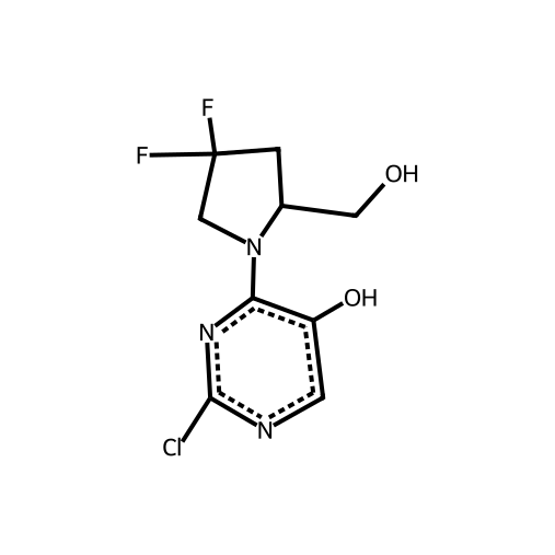 OCC1CC(F)(F)CN1c1nc(Cl)ncc1O